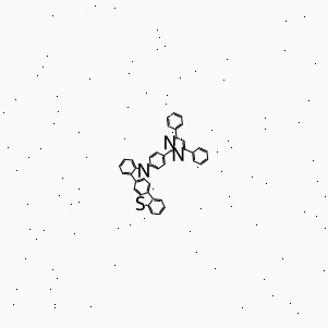 c1ccc(-c2cc(-c3ccccc3)nc(-c3ccc(-n4c5ccccc5c5cc6sc7ccccc7c6cc54)cc3)n2)cc1